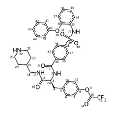 O=C(N[C@@H](Cc1ccc(OC(=O)C(F)(F)F)cc1)C(=O)NCC1CCNCC1)c1ccc(S(=O)(=O)Nc2ccccc2Oc2ccccc2)cc1